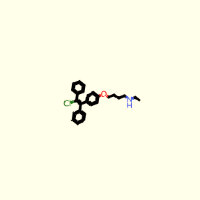 CCNCCCCOc1ccc(/C(=C(/Cl)c2ccccc2)c2ccccc2)cc1